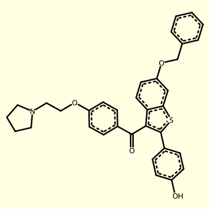 O=C(c1ccc(OCCN2CCCC2)cc1)c1c(-c2ccc(O)cc2)sc2cc(OCc3ccccc3)ccc12